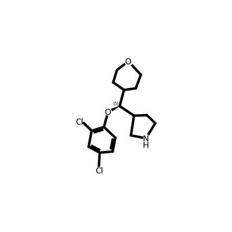 Clc1ccc(O[C@@H](C2CCOCC2)C2CCNC2)c(Cl)c1